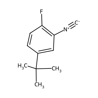 [C-]#[N+]c1cc(C(C)(C)C)ccc1F